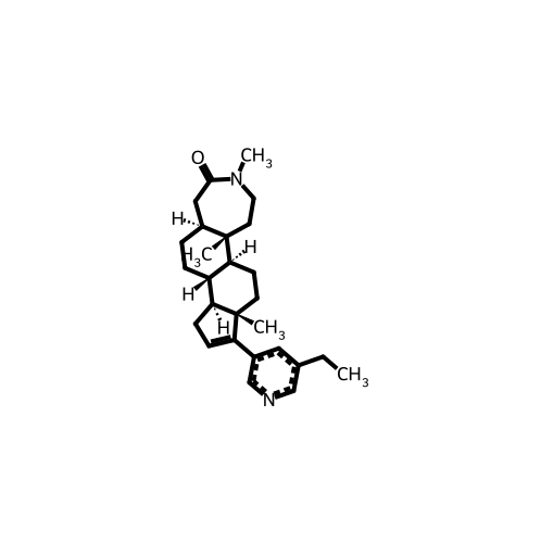 CCc1cncc(C2=CC[C@H]3[C@@H]4CC[C@H]5CC(=O)N(C)CC[C@]5(C)[C@H]4CC[C@]23C)c1